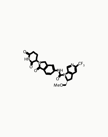 COC[C@H]1Cc2cc(C(F)(F)F)ncc2N1C(=O)Nc1ccc2c(c1)CN(C1CCC(=O)NC1=O)C2=O